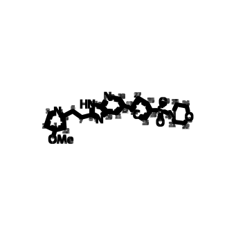 COc1ccnc(CCc2nc3cc(-c4ccc(S(=O)(=O)N5CCOCC5)cc4)cnc3[nH]2)c1